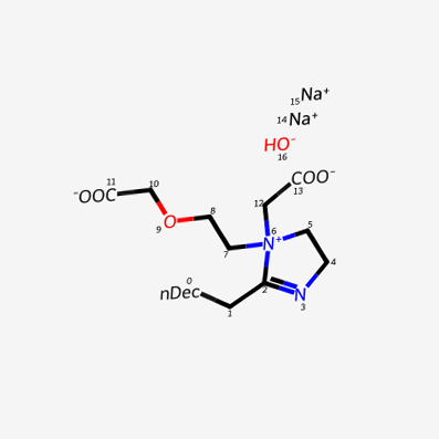 CCCCCCCCCCCC1=NCC[N+]1(CCOCC(=O)[O-])CC(=O)[O-].[Na+].[Na+].[OH-]